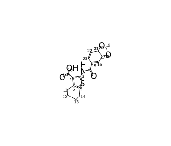 O=C(Nc1sc2c(c1C(=O)O)CCCC2)C1=CC2OCOC2C=C1